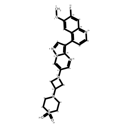 COc1cc2c(-c3cnn4cc(N5CC(N6CCS(=O)(=O)CC6)C5)cnc34)ccnc2cc1F